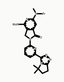 CNc1nc(N(C)C(C)C)cc2c1CN(c1cccc(-c3nnc4n3C(C)(C)CC4)n1)C2=O